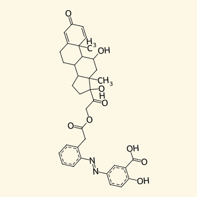 CC12C=CC(=O)C=C1CCC1C2C(O)CC2(C)C1CCC2(O)C(=O)COC(=O)Cc1ccccc1/N=N/c1ccc(O)c(C(=O)O)c1